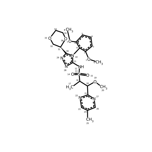 COc1cccc(OC)c1-n1c(NS(=O)(=O)C(C)C(OC)c2ncc(C)cn2)nnc1[C@H]1COCCO1